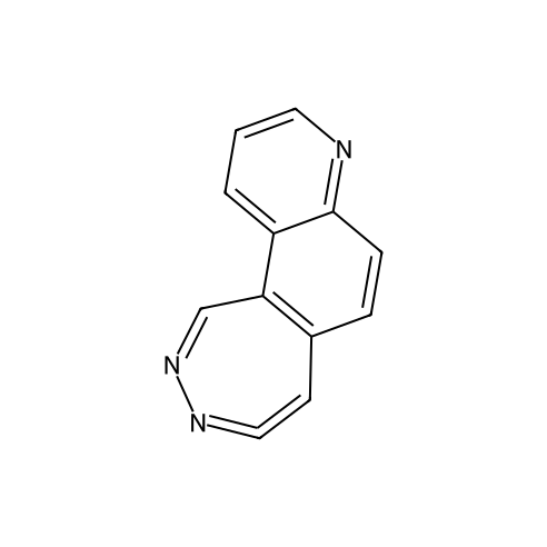 C1=Cc2ccc3ncccc3c2C=NN=1